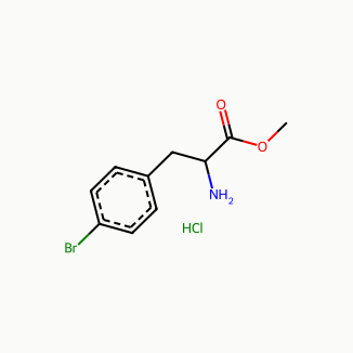 COC(=O)C(N)Cc1ccc(Br)cc1.Cl